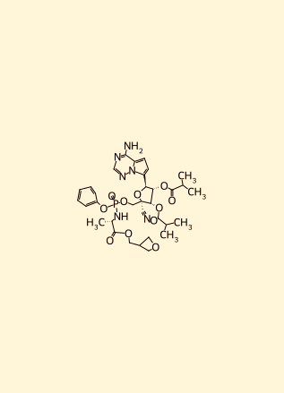 CC(C)C(=O)O[C@H]1[C@H](c2ccc3c(N)ncnn23)O[C@](C#N)(COP(=O)(N[C@@H](C)C(=O)OCC2COC2)Oc2ccccc2)[C@H]1OC(=O)C(C)C